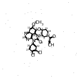 C#CC(=O)N1CCC(Oc2c(OC)cc3ncnc4c3c2NC(=O)N4c2ccc(Cl)c(Cl)c2)CC1